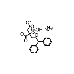 O=C([O-])CC(CCC(c1ccccc1)c1ccccc1)(C(=O)[O-])S(=O)(=O)O.[Na+].[Na+]